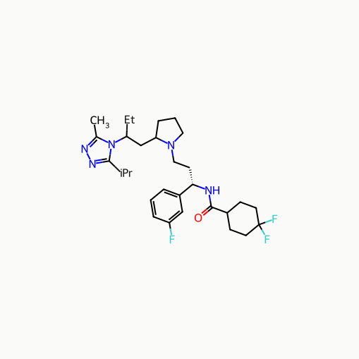 CCC(CC1CCCN1CC[C@H](NC(=O)C1CCC(F)(F)CC1)c1cccc(F)c1)n1c(C)nnc1C(C)C